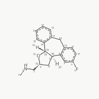 CNC[C@@H]1C[C@@H]2c3cc(F)ccc3Cc3ccccc3[C@H]2O1